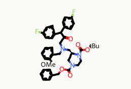 COc1ccccc1CN(CC(=O)C(c1ccc(F)cc1)c1ccc(F)cc1)C[C@@H]1CN(C(=O)OCc2ccccc2)CCN1C(=O)OC(C)(C)C